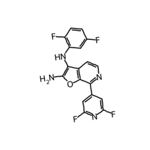 Nc1oc2c(-c3cc(F)nc(F)c3)nccc2c1Nc1cc(F)ccc1F